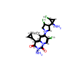 COc1c(N2CC(F)C(C3(N)CC3F)C2)c(F)cn2c(=O)n(N)c(=O)c(C3CC3)c12